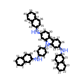 c1ccc2cc(Nc3ccc(-n4c5cc(Nc6ccc7ccccc7c6)ccc5c5ccc(Nc6ccc7ccccc7c6)cc54)cc3)ccc2c1